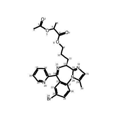 CC(=O)OC(C)C(=O)OCCC[C@@H]1N=C(c2ccccn2)c2cc(Br)ccc2-n2c(C)cnc21